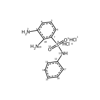 Cl.Cl.Nc1cccc(S(=O)(=O)Nc2ccccc2)c1N